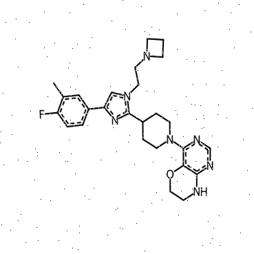 Cc1cc(-c2cn(CCN3CCC3)c(C3CCN(c4ncnc5c4OCCN5)CC3)n2)ccc1F